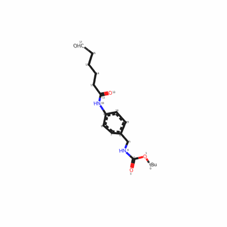 CC(C)(C)OC(=O)NCc1ccc(NC(=O)CCCCC=O)cc1